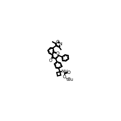 Cc1noc(C)c1-c1cccc2c(=O)c(-c3ccc(C4(NC(=O)OC(C)(C)C)CCC4)cc3)c(-c3ccccc3)oc12